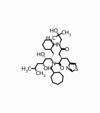 CC(C)C[C@H](O)[C@H](O)[C@H](CC1CCCCC1)N(CC1CCCCCC1)C(=O)[C@@H](CC(=O)NCC(C)(C)O)Cc1cscn1